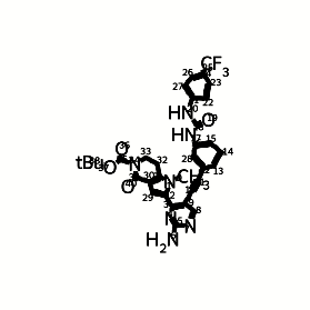 Cn1c(-c2nc(N)ncc2C#Cc2cccc(NC(=O)Nc3ccc(C(F)(F)F)cc3)c2)cc2c1CCN(C(=O)OC(C)(C)C)C2=O